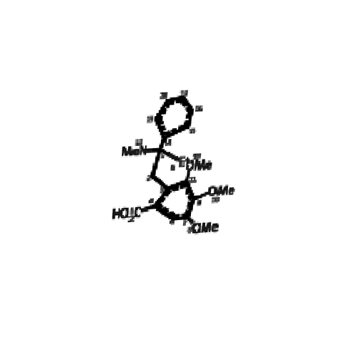 CCC(Cc1c(C(=O)O)cc(OC)c(OC)c1OC)(NC)c1ccccc1